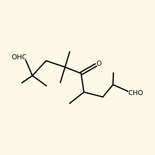 CC(C=O)CC(C)C(=O)C(C)(C)CC(C)(C)C=O